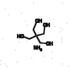 N.OCC(CO)(CO)CO